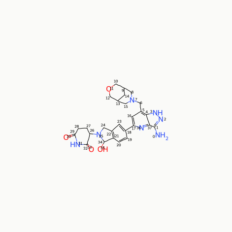 Nc1n[nH]c2c(CN3CC4COCC(C4)C3)cc(-c3ccc4c(c3)CN(C3CCC(=O)NC3=O)C4O)nc12